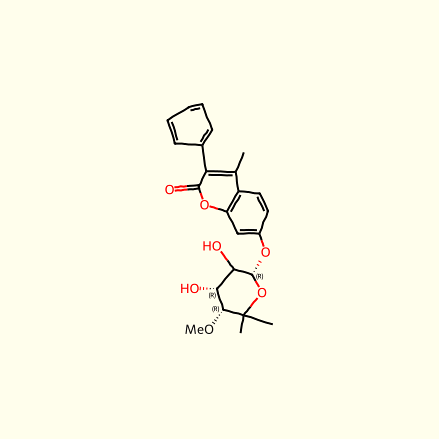 CO[C@@H]1[C@H](O)C(O)[C@H](Oc2ccc3c(C)c(-c4ccccc4)c(=O)oc3c2)OC1(C)C